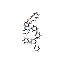 C1=C(c2ccccc2)N=C(c2ccccc2)NC1c1cccc(-c2cccc(-n3c4ccccc4c4ccc5c(c43)Oc3cc4ccccc4cc3O5)c2)c1